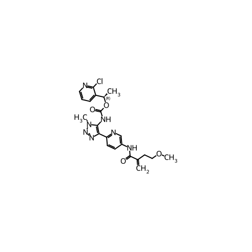 C=C(CCOC)C(=O)Nc1ccc(-c2nnn(C)c2NC(=O)O[C@H](C)c2cccnc2Cl)nc1